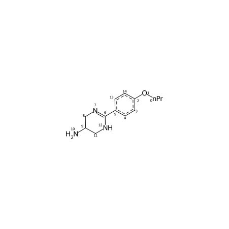 CCCOc1ccc(C2=NCC(N)CN2)cc1